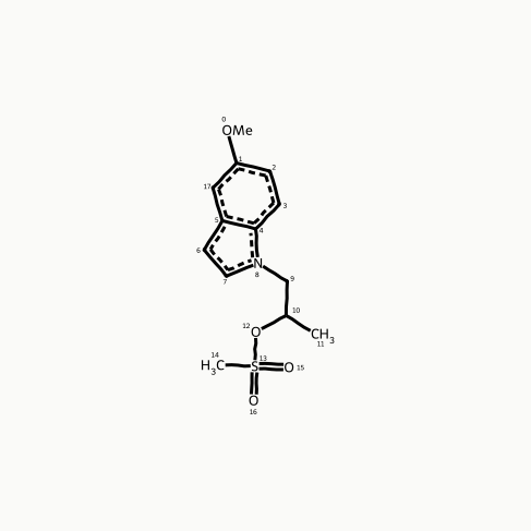 COc1ccc2c(ccn2CC(C)OS(C)(=O)=O)c1